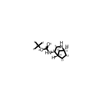 CC(C)(C)OC(=O)N[C@H]1CN[C@H]2CC[C@H]1C2